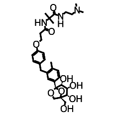 Cc1ccc([C@]23OC[C@](CO)(O2)[C@@H](O)[C@H](O)[C@H]3O)cc1Cc1ccc(OCCC(=O)NC(C)(C)C(=O)NCCN(C)C)cc1